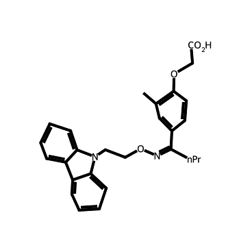 CCC/C(=N/OCCn1c2ccccc2c2ccccc21)c1ccc(OCC(=O)O)c(C)c1